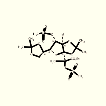 CCOC(=O)C(C)(OS(C)(=O)=O)[C@]12O[C@H]([C@H]3COC(C)(C)O3)[C@H](OS(C)(=O)=O)[C@H]1OC(C)(C)O2